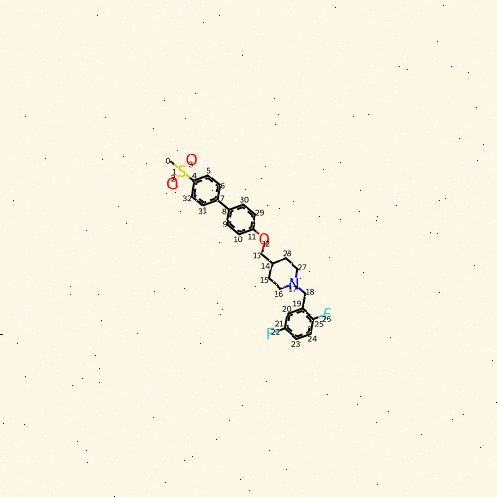 CS(=O)(=O)c1ccc(-c2ccc(OCC3CCN(Cc4cc(F)ccc4F)CC3)cc2)cc1